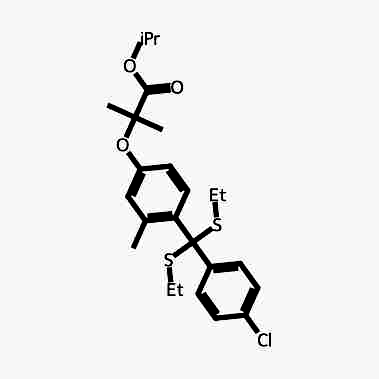 CCSC(SCC)(c1ccc(Cl)cc1)c1ccc(OC(C)(C)C(=O)OC(C)C)cc1C